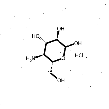 Cl.N[C@H]1[C@H](O)[C@@H](O)C(O)O[C@@H]1CO